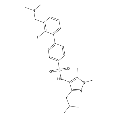 Cc1c(NS(=O)(=O)c2ccc(-c3cccc(CN(C)C)c3F)cc2)c(CC(C)C)nn1C